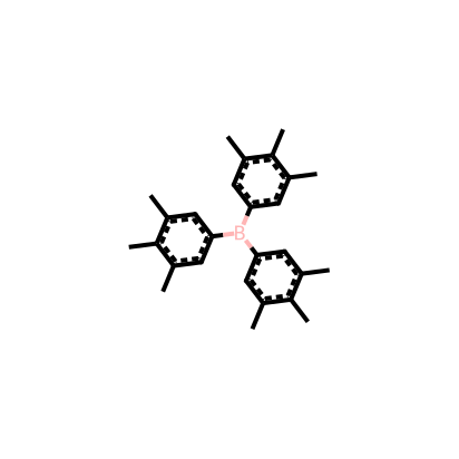 Cc1cc(B(c2cc(C)c(C)c(C)c2)c2cc(C)c(C)c(C)c2)cc(C)c1C